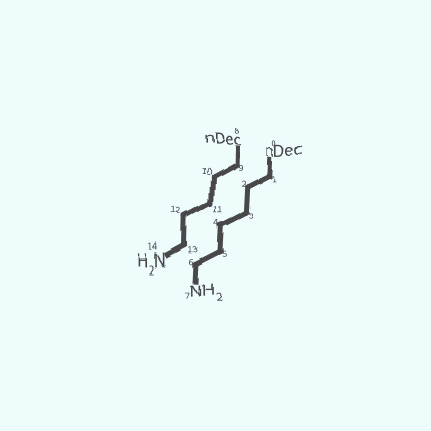 CCCCCCCCCCCCCCCCN.CCCCCCCCCCCCCCCN